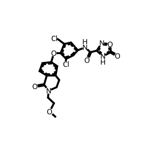 COCCN1CCc2cc(Oc3c(Cl)cc(NC(=O)c4noc(=O)[nH]4)cc3Cl)ccc2C1=O